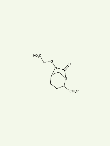 O=C(O)CON1C(=O)N2CC1CCC2C(=O)O